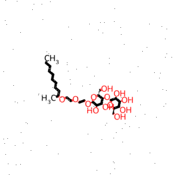 CCCCCCCCCC(C)OCCOCCO[C@H]1O[C@H](CO)[C@@H](O[C@@H]2O[C@H](CO)[C@H](O)[C@H](O)[C@H]2O)[C@H](O)[C@H]1O